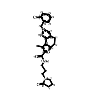 Cc1c(C(=O)NCCCN2CCCC2=O)oc2c1-c1nn(Cc3ccccc3Cl)cc1CC2